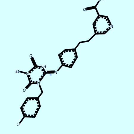 CCn1c(=O)[nH]/c(=N\c2ccc(CCc3cncc(C(=O)OC)c3)cc2)n(Cc2ccc(Cl)cc2)c1=O